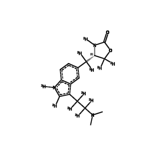 [2H]c1c(C([2H])([2H])C([2H])([2H])N(C)C)c2cc(C([2H])([2H])[C@@H]3N([2H])C(=O)OC3([2H])[2H])ccc2n1[2H]